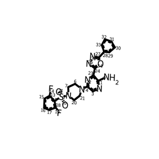 Nc1ncc(N2CCN(S(=O)(=O)c3c(F)cccc3F)CC2)nc1-c1nnc(-c2ccccc2)o1